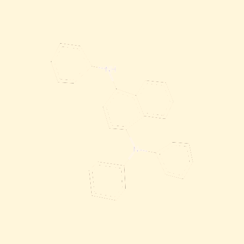 c1ccc(Nc2ccc(N(c3ccccc3)c3ccccc3)c3ccccc23)cc1